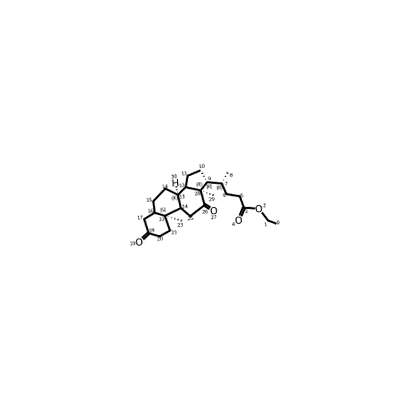 CCOC(=O)CC[C@@H](C)[C@H]1CCC2[C@@H]3CCC4CC(=O)CC[C@]4(C)C3CC(=O)[C@@]21C